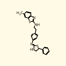 Cc1ccc2nc(NCCc3ccc(/N=C4/NCC(c5ccccc5)S4)cc3)sc2c1